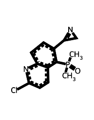 CP(C)(=O)c1c(C2=NC2)ccc2nc(Cl)ccc12